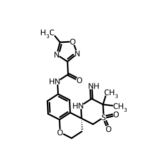 Cc1nc(C(=O)Nc2ccc3c(c2)[C@]2(CCO3)CS(=O)(=O)C(C)(C)C(=N)N2)no1